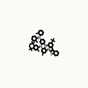 Cc1cc2c3c(c1)-n1c4sc5ccccc5c4c4cc(C(C)(C)C)cc(c41)B3c1ccc(N(c3ccccc3C)c3ccccc3C)cc1N2c1cc2c(cc1C)C(C)(C)CCC2(C)C